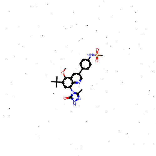 COc1c(C(C)(C)C)cc(-n2c(C)n[nH]c2=O)c2ncc(-c3ccc(NS(C)(=O)=O)cc3)cc12